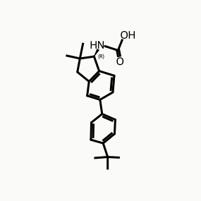 CC(C)(C)c1ccc(-c2ccc3c(c2)CC(C)(C)[C@H]3NC(=O)O)cc1